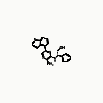 Nc1ncc(-c2cccc3ncccc23)nc1N[C@H](CO)c1ccccc1